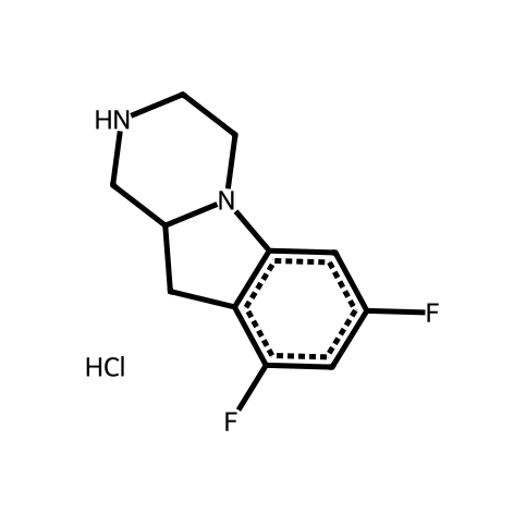 Cl.Fc1cc(F)c2c(c1)N1CCNCC1C2